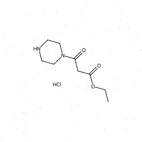 CCOC(=O)CC(=O)N1CCNCC1.Cl